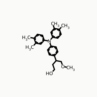 COCC(CCO)c1ccc(N(c2ccc(C)c(C)c2)c2ccc(C)c(C)c2)cc1